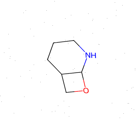 C1CNC2OCC2C1